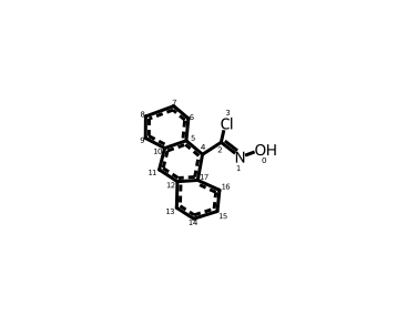 ON=C(Cl)c1c2ccccc2cc2ccccc12